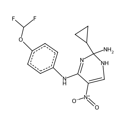 NC1(C2CC2)N=C(Nc2ccc(OC(F)F)cc2)C([N+](=O)[O-])=CN1